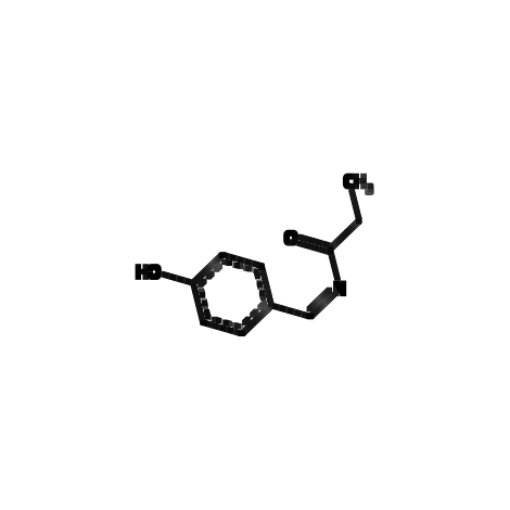 CCC(=O)/N=C\c1ccc(O)cc1